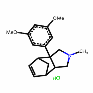 COc1cc(OC)cc(C23CN(C)CC2C2C=CC3C2)c1.Cl